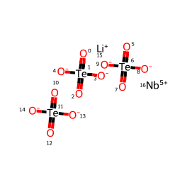 O=[Te](=O)([O-])[O-].O=[Te](=O)([O-])[O-].O=[Te](=O)([O-])[O-].[Li+].[Nb+5]